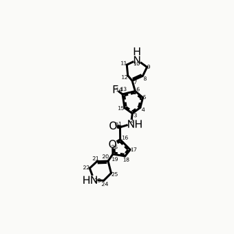 O=C(Nc1ccc(C2=CCNCC2)c(F)c1)c1ccc(C2=CCNCC2)o1